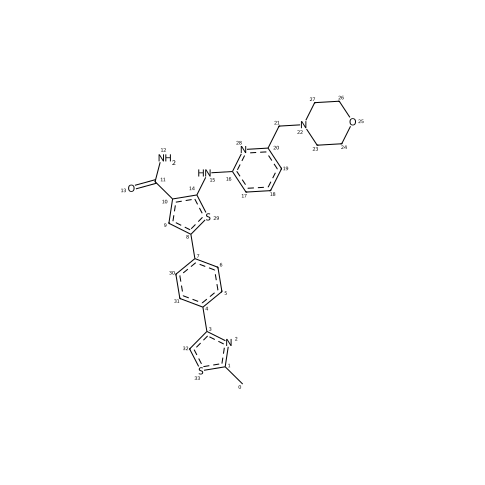 Cc1nc(-c2ccc(-c3cc(C(N)=O)c(Nc4cccc(CN5CCOCC5)n4)s3)cc2)cs1